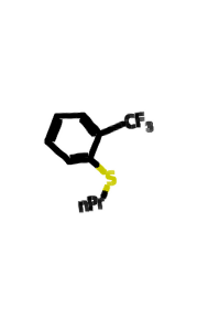 CCCSc1ccccc1C(F)(F)F